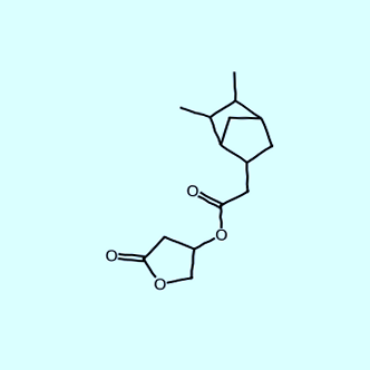 CC1C2CC(CC(=O)OC3COC(=O)C3)C(C2)C1C